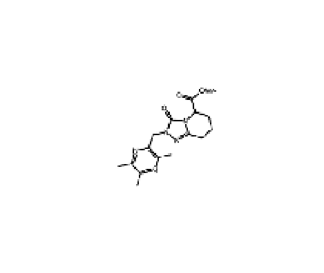 COC(=O)C1CCCc2nn(Cc3nc(C)c(C)nc3C)c(=O)n21